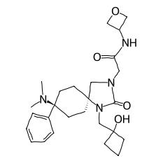 CN(C)[C@]1(c2ccccc2)CC[C@]2(CC1)CN(CC(=O)NC1COC1)C(=O)N2CC1(O)CCC1